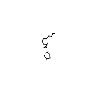 C[C@@H]1OC(OC(=O)C2(O)C[C@H](O)[C@@H](N)[C@H]([C@H](O)[C@H](O)CO)O2)[C@@H](O)[C@H](O)[C@@H]1O